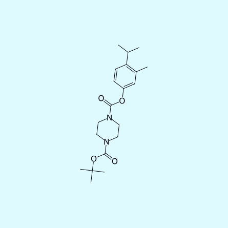 Cc1cc(OC(=O)N2CCN(C(=O)OC(C)(C)C)CC2)ccc1C(C)C